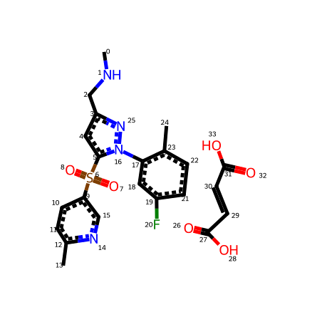 CNCc1cc(S(=O)(=O)c2ccc(C)nc2)n(-c2cc(F)ccc2C)n1.O=C(O)C=CC(=O)O